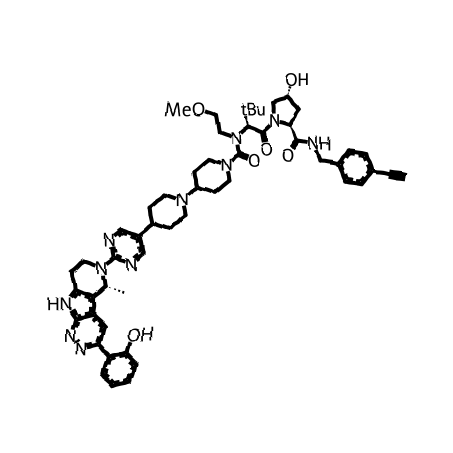 C#Cc1ccc(CNC(=O)[C@@H]2C[C@@H](O)CN2C(=O)[C@@H](N(CCOC)C(=O)N2CCC(N3CCC(c4cnc(N5CCc6[nH]c7nnc(-c8ccccc8O)cc7c6[C@H]5C)nc4)CC3)CC2)C(C)(C)C)cc1